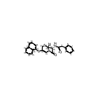 O=C(Cc1ccccc1)N[C@@H]1C(=O)N2C=C(Sc3cccc4ccccc34)CS[C@H]12